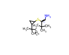 CC(C)(C)/C(=C/N)SC1CC1C(C)(C)C